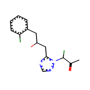 CC(=O)C(Cl)n1ncnc1CC(O)Cc1ccccc1Cl